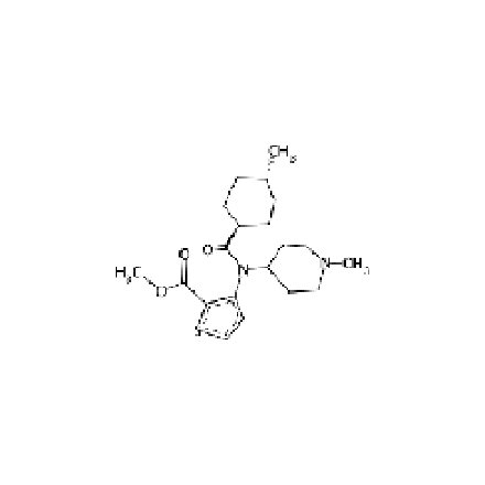 COC(=O)c1sccc1N(C(=O)[C@H]1CC[C@H](C)CC1)C1CCN(C)CC1